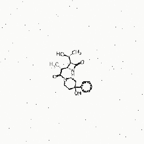 C[C@@H](O)[C@H]1C(=O)N[C@@H]1[C@@H](C)C(=O)N1CCC(O)(c2ccccc2)CC1